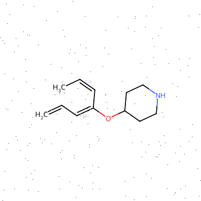 C=C/C=C(\C=C/C)OC1CCNCC1